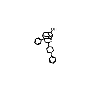 O=C(CC1(c2ccccc2)C2CC3CC1CC(C2)C3O)N1CCN(c2ccccc2)CC1